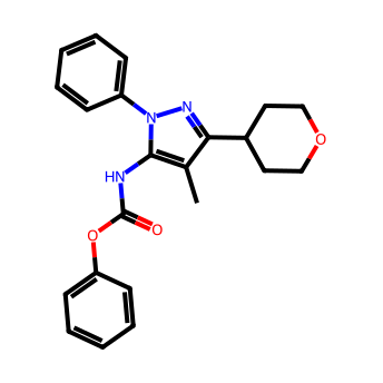 Cc1c(C2CCOCC2)nn(-c2ccccc2)c1NC(=O)Oc1ccccc1